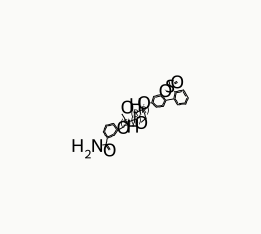 CS(=O)(=O)c1ccccc1-c1ccc(O[C@@H]2CO[C@H]3[C@@H]2OC[C@@H]3Oc2cccc(C(N)=O)c2)cc1